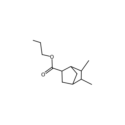 CCCOC(=O)C1CC2CC1C(C)C2C